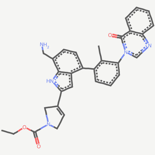 CCOC(=O)N1CC=C(c2cc3c(-c4cccc(-n5cnc6ccccc6c5=O)c4C)ccc(CN)c3[nH]2)C1